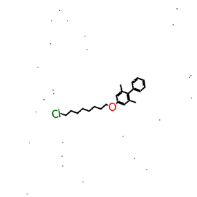 Cc1cc(OCCCCCCCCCl)cc(C)c1-c1ccccc1